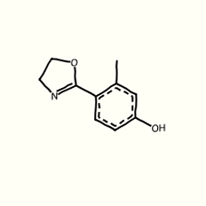 Cc1cc(O)ccc1C1=NCCO1